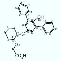 O=C(O)CO[C@@H]1CCCC[C@H]1Sc1cc(-c2ccccc2)c(O)c(-c2ccccc2)c1